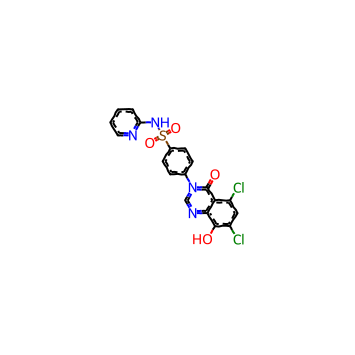 O=c1c2c(Cl)cc(Cl)c(O)c2ncn1-c1ccc(S(=O)(=O)Nc2ccccn2)cc1